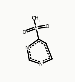 CS(=O)(=O)c1[c]cncn1